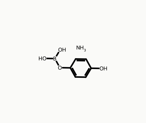 N.OB(O)Oc1ccc(O)cc1